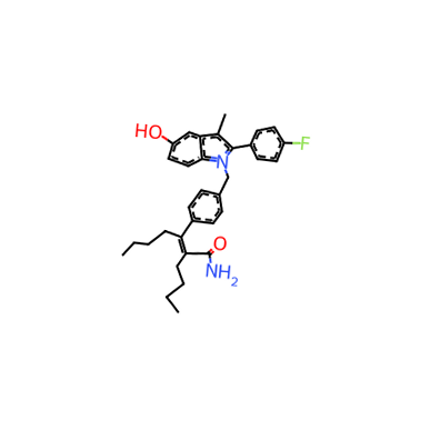 CCCCC(C(N)=O)=C(CCCC)c1ccc(Cn2c(-c3ccc(F)cc3)c(C)c3cc(O)ccc32)cc1